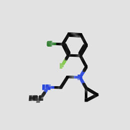 O=C(O)NCCN(Cc1cccc(Cl)c1F)C1CC1